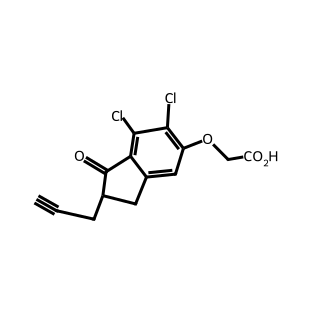 C#CCC1Cc2cc(OCC(=O)O)c(Cl)c(Cl)c2C1=O